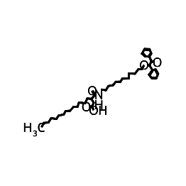 CCCCCCCCCCCCCCC(CC(=O)O)C(=O)NCCCCCCCCCCCCOC(C(=O)c1ccccc1)c1ccccc1